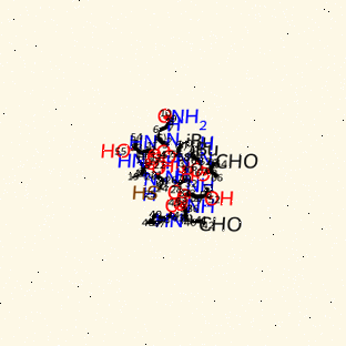 CCC(C)[C@H](NC(=O)[C@H](CCC(N)=O)NC(=O)[C@@H](NC(=O)[C@H](C)NC(=O)[C@H](CS)NC(=O)[C@H](CO)NC(=O)[C@@H](NC(=O)[C@H](CCC=O)NC(=O)C1CCC1)C(C)O)C(C)O)C(=O)N[C@H](C(=O)N[C@H](C=O)C(C)O)C(C)CC